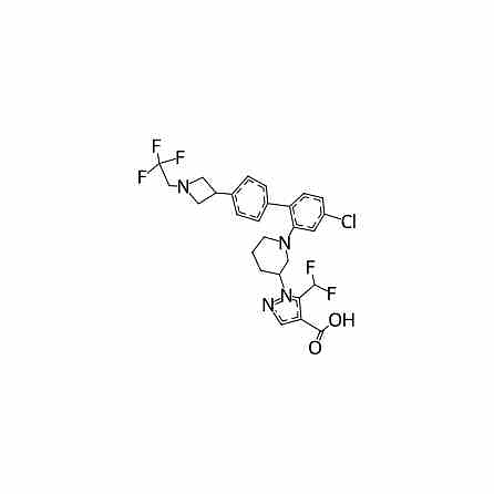 O=C(O)c1cnn(C2CCCN(c3cc(Cl)ccc3-c3ccc(C4CN(CC(F)(F)F)C4)cc3)C2)c1C(F)F